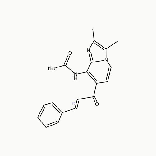 Cc1nc2c(NC(=O)C(C)(C)C)c(C(=O)/C=C/c3ccccc3)ccn2c1C